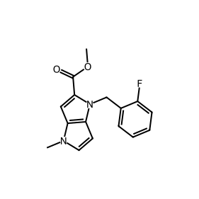 COC(=O)c1cc2c(ccn2C)n1Cc1ccccc1F